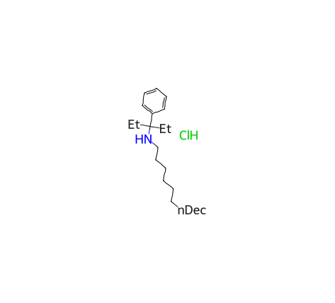 CCCCCCCCCCCCCCCCNC(CC)(CC)c1ccccc1.Cl